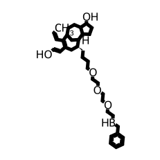 C/C=C\C1=C(/C=C/O)C[C@@H](CCCCOCCOCCOCCBCc2ccccc2)C2CC1CCC1C(O)CC[C@H]12